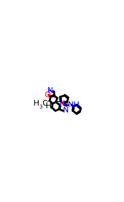 C[C@@H]1c2oncc2C[C@]2(c3ccccc3)c3nc(Nc4ccccc4)ncc3CC[C@@H]12